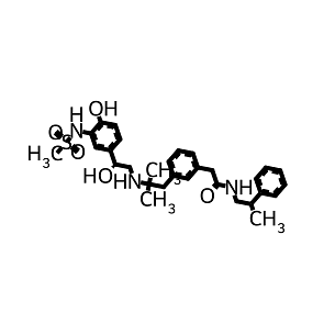 CC(CNC(=O)Cc1cccc(CC(C)(C)NC[C@@H](O)c2ccc(O)c(NS(C)(=O)=O)c2)c1)c1ccccc1